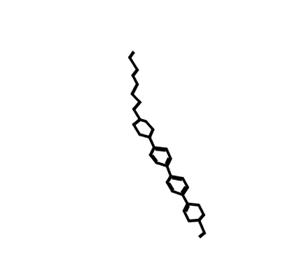 CCCCCCCCC1CCC(c2ccc(-c3ccc(C4=CCC(CC)CC4)cc3)cc2)CC1